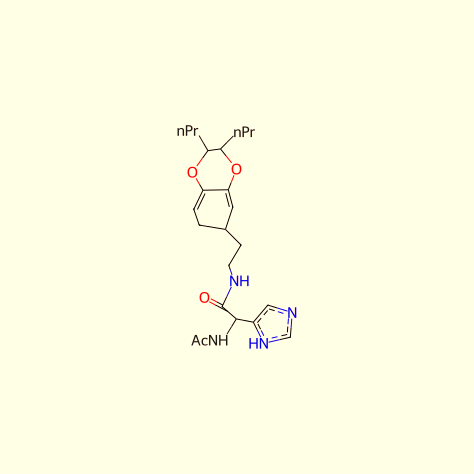 CCCC1OC2=CCC(CCNC(=O)C(NC(C)=O)c3cnc[nH]3)C=C2OC1CCC